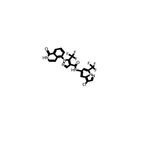 O=C(Nc1cc(C(F)(F)F)n2ncc(Cl)c2c1)c1cnn(-c2cccc3c(=O)[nH]ccc23)c1C(F)(F)F